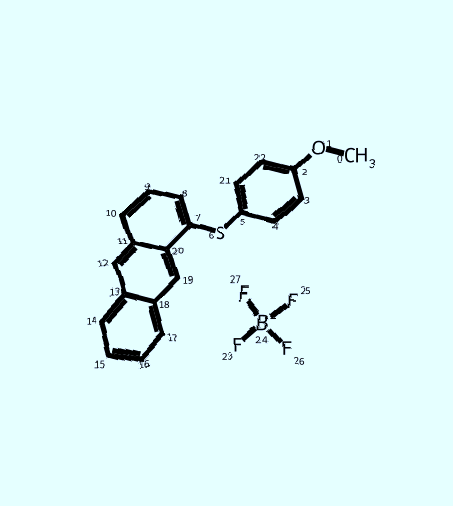 COc1ccc(Sc2cccc3cc4ccccc4cc23)cc1.F[B-](F)(F)F